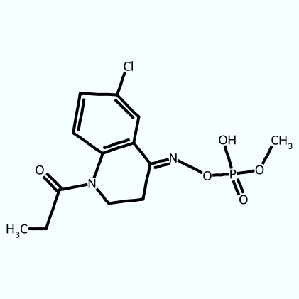 CCC(=O)N1CCC(=NOP(=O)(O)OC)c2cc(Cl)ccc21